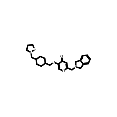 O=c1cc(CN2Cc3ccccc3C2)occ1OCC1CCC(CN2CCCS2)CC1